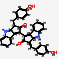 O=C1C(C2=C3C(=Nc4ccccc43)C(Cc3ccc(O)cc3)C2=O)=C2C(=Nc3ccccc32)/C1=C\c1ccc(O)cc1